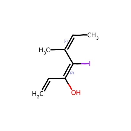 C=C/C(O)=C(I)\C(C)=C/C